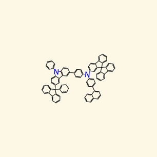 C1=CC(C2(c3ccc4c(c3)c3cc(-c5ccc(N(c6ccc(-c7cccc8ccccc78)cc6)c6ccc7c(c6)C6(c8ccccc8-c8ccccc86)c6ccccc6-7)cc5)ccc3n4-c3ccccc3)c3ccccc3-c3ccccc32)=CCC1